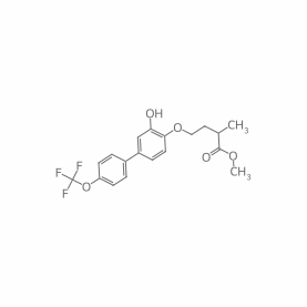 COC(=O)C(C)CCOc1ccc(-c2ccc(OC(F)(F)F)cc2)cc1O